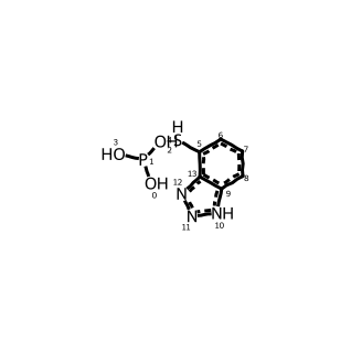 OP(O)O.Sc1cccc2[nH]nnc12